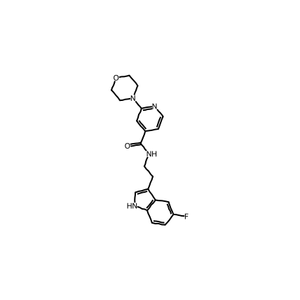 O=C(NCCc1c[nH]c2ccc(F)cc12)c1ccnc(N2CCOCC2)c1